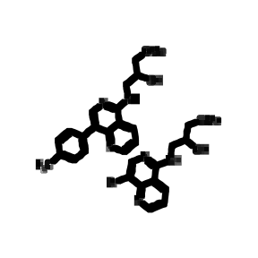 COCC(O)CNc1ncc(-c2ccc(C(F)(F)F)cc2)c2ncccc12.COCC(O)CNc1ncc(Br)c2ncccc12